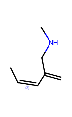 C=C(/C=C\C)CNC